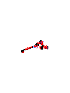 C=C1CC(C(O)CNCCCCCCOCCCCc2ccccc2)=CC=C1OCC12CCC(CC(OC(=O)C(COC(=O)CN(CC)CC)c3ccccc3)C1)[N+]2(C)C(C)C